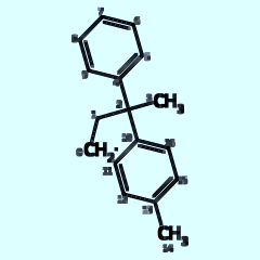 [CH2]CC(C)(c1ccccc1)c1ccc(C)cc1